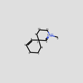 C[N+]1=CC2(C=CCCC2)CCC1